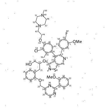 COc1cc(-c2ncc3snc(OC(CO)Cc4ccccc4OCc4ccnc(-c5ccccc5OC)n4)c3c2-c2ccc(OCCN3CCN(C)CC3)c(Cl)c2C)ccc1F